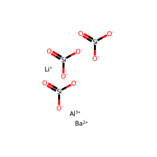 O=[Si]([O-])[O-].O=[Si]([O-])[O-].O=[Si]([O-])[O-].[Al+3].[Ba+2].[Li+]